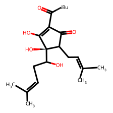 CCC(C)C(=O)C1=C(O)[C@@](O)(C(O)CC=C(C)C)C(CC=C(C)C)C1=O